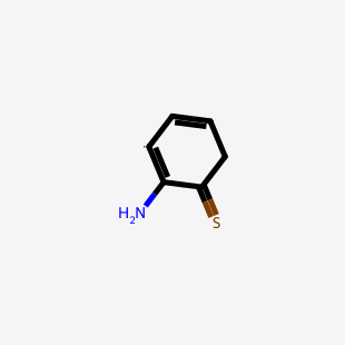 NC1=[C]C=CCC1=S